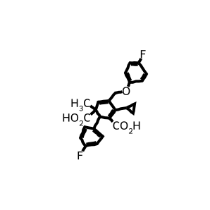 CC1(C(=O)O)C=C(COc2ccc(F)cc2)C(C2CC2)=C(C(=O)O)C1c1ccc(F)cc1